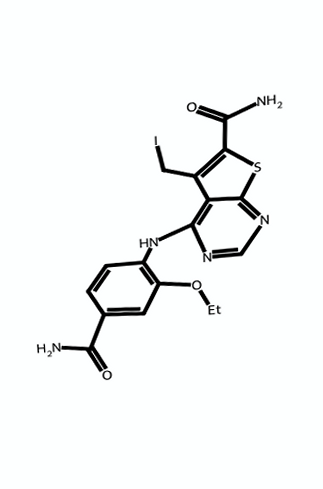 CCOc1cc(C(N)=O)ccc1Nc1ncnc2sc(C(N)=O)c(CI)c12